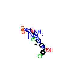 CC[C@H]1CN(c2nc(N)c(C(=O)NCCNS(C)(=O)=O)nc2Cl)CCN1C1CCN([C@H](CO)c2ccc(Cl)cc2)CC1